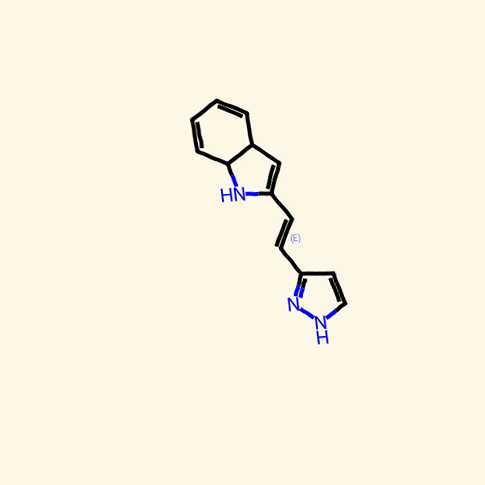 C1=CC2C=C(/C=C/c3cc[nH]n3)NC2C=C1